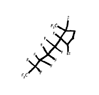 [CH2]CC1C[CH]C(F)(C(F)(F)F)C1(F)C(F)(F)C(F)(F)C(F)(F)C(F)(F)C(F)(F)F